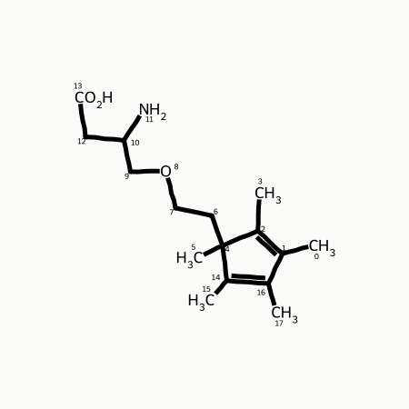 CC1=C(C)C(C)(CCOCC(N)CC(=O)O)C(C)=C1C